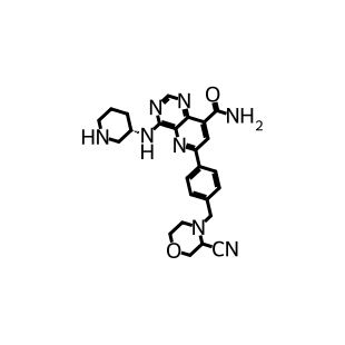 N#CC1COCCN1Cc1ccc(-c2cc(C(N)=O)c3ncnc(N[C@H]4CCCNC4)c3n2)cc1